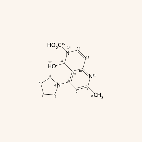 Cc1cc(N2CCCC2)c2c(n1)C=CN(C(=O)O)C2O